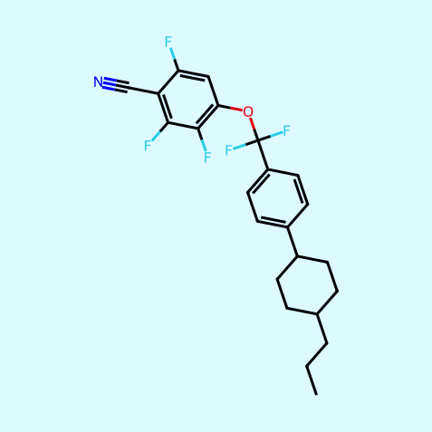 CCCC1CCC(c2ccc(C(F)(F)Oc3cc(F)c(C#N)c(F)c3F)cc2)CC1